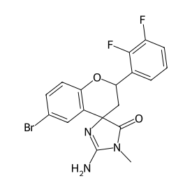 CN1C(=O)C2(CC(c3cccc(F)c3F)Oc3ccc(Br)cc32)N=C1N